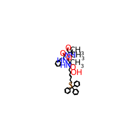 CC(C)[C@H](C=O)NC(=O)[C@@H](Cc1ccccc1)NC(=O)[C@@H](C)NC(=O)C[C@@H](O)/C=C/CCSC(c1ccccc1)(c1ccccc1)c1ccccc1